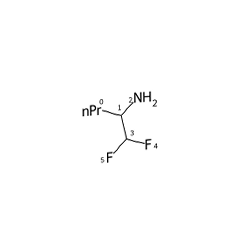 CCCC(N)C(F)F